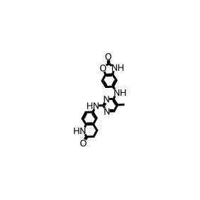 Cc1cnc(Nc2ccc3c(c2)CCC(=O)N3)nc1Nc1ccc2oc(=O)[nH]c2c1